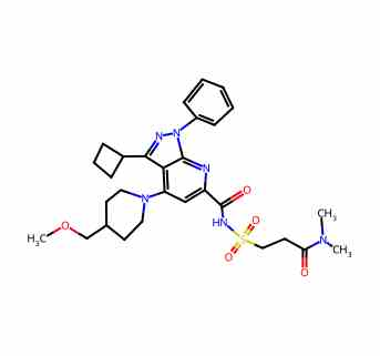 COCC1CCN(c2cc(C(=O)NS(=O)(=O)CCC(=O)N(C)C)nc3c2c(C2CCC2)nn3-c2ccccc2)CC1